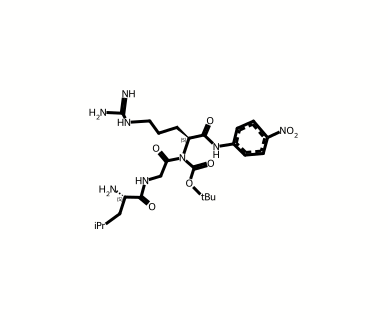 CC(C)C[C@H](N)C(=O)NCC(=O)N(C(=O)OC(C)(C)C)[C@@H](CCCNC(=N)N)C(=O)Nc1ccc([N+](=O)[O-])cc1